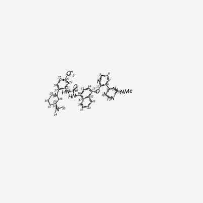 CNc1ncnc(-c2cccnc2Oc2ccc(NC(=O)Nc3cc(C(F)(F)F)ccc3N3CCC[C@H](N(C)C)C3)c3ccccc23)n1